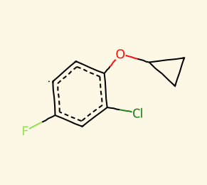 Fc1[c]cc(OC2CC2)c(Cl)c1